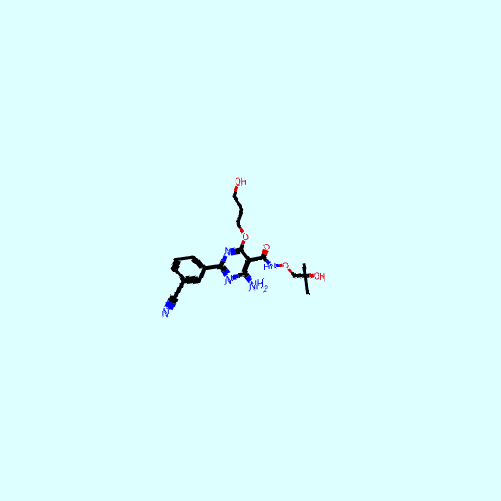 CC(C)(O)CONC(=O)c1c(N)nc(-c2cccc(C#N)c2)nc1OCCCO